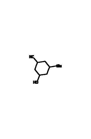 CC(C)(C)C1CC(O)CC(C#N)C1